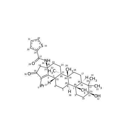 CC(C)C1=C2[C@H]3CC[C@@H]4[C@@]5(C)CC[C@H](O)C(C)(C)[C@@H]5CC[C@@]4(C)[C@]3(C)CC[C@@]2(NC(=O)c2cccs2)CC1=O